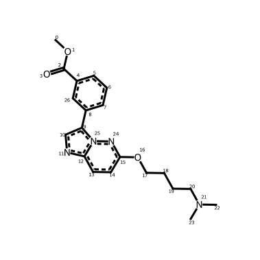 COC(=O)c1cccc(-c2cnc3ccc(OCCCCN(C)C)nn23)c1